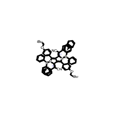 CCC(C)COc1ccc(-c2c3/c(=C(\C#N)c4ccccn4)n(B(c4ccccc4)c4ccccc4)c(-c4ccc(OCC(C)CC)cc4)c3/c(=C(\C#N)C3=Nc4ccccc4C3)n2B(c2ccccc2)c2ccccc2)cc1